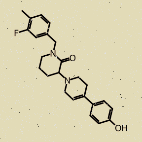 Cc1ccc(CN2CCCC(N3CC=C(c4ccc(O)cc4)CC3)C2=O)cc1F